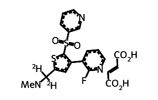 O=C(O)C=CC(=O)O.[2H]C([2H])(NC)c1cc(-c2cccnc2F)c(S(=O)(=O)c2cccnc2)s1